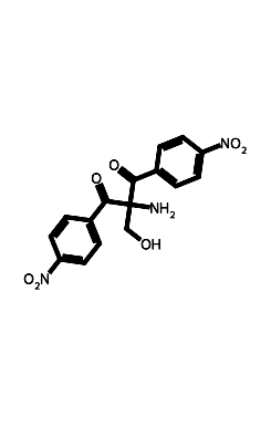 NC(CO)(C(=O)c1ccc([N+](=O)[O-])cc1)C(=O)c1ccc([N+](=O)[O-])cc1